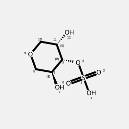 O=S(=O)(O)O[C@@H]1[C@@H](O)[CH]OC[C@@H]1O